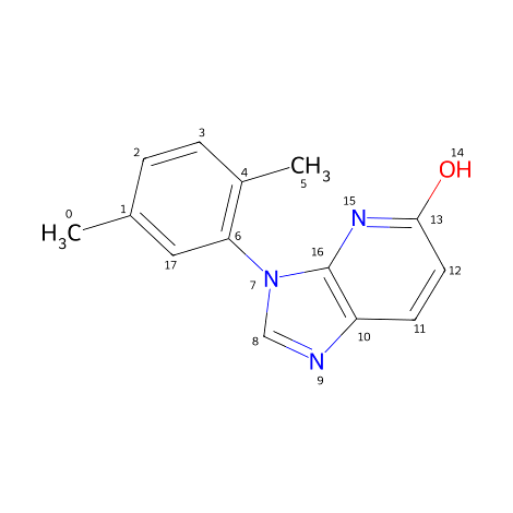 Cc1ccc(C)c(-n2cnc3ccc(O)nc32)c1